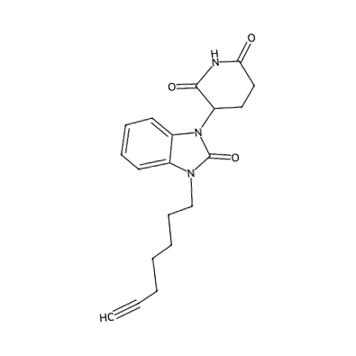 C#CCCCCCn1c(=O)n(C2CCC(=O)NC2=O)c2ccccc21